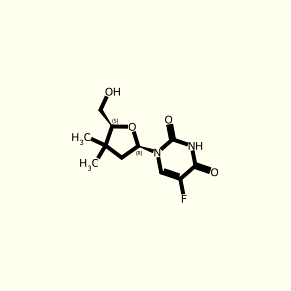 CC1(C)C[C@H](n2cc(F)c(=O)[nH]c2=O)O[C@@H]1CO